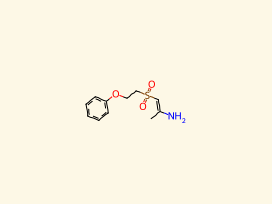 C/C(N)=C\S(=O)(=O)CCOc1ccccc1